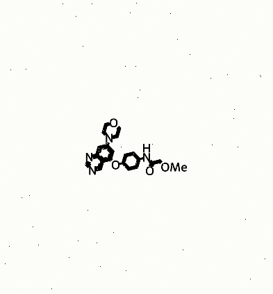 COCC(=O)N[C@H]1CC[C@@H](Oc2cc(N3CCOCC3)cc3ncncc23)CC1